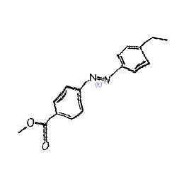 CCc1ccc(/N=N/c2ccc(C(=O)OC)cc2)cc1